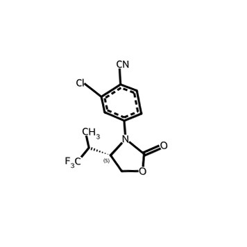 CC([C@H]1COC(=O)N1c1ccc(C#N)c(Cl)c1)C(F)(F)F